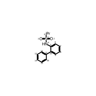 CC(C)S(=O)(=O)Nc1ccccc1-c1ccccc1